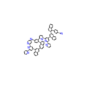 N#Cc1ccc(-c2c(-c3cc(-c4cc(-c5ccccn5)nc(-c5cccc(-c6cc(C#N)ccc6-c6cccc7ccc(-c8cc(-c9cc(-c%10ccccn%10)nc(-c%10ccccn%10)c9)c9ccccc9c8)cc67)n5)c4)c4ccccc4c3)ccc3ccccc23)cc1